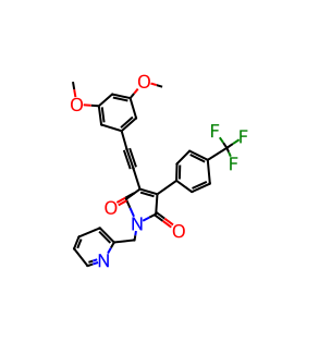 COc1cc(C#CC2=C(c3ccc(C(F)(F)F)cc3)C(=O)N(Cc3ccccn3)C2=O)cc(OC)c1